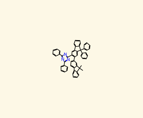 CC1(C)c2ccccc2-c2ccc(-c3cc4c(cc3-c3nc(-c5ccccc5)nc(-c5ccccc5)n3)-c3ccccc3C4(c3ccccc3)c3ccccc3)cc21